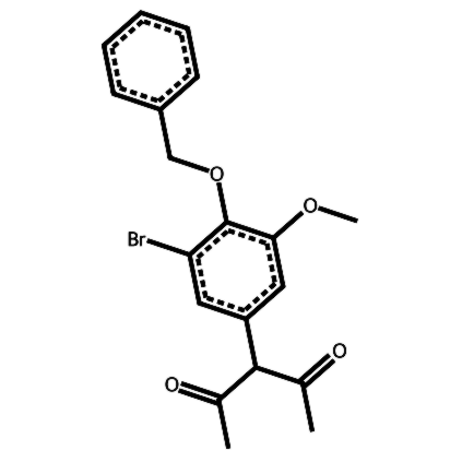 COc1cc(C(C(C)=O)C(C)=O)cc(Br)c1OCc1ccccc1